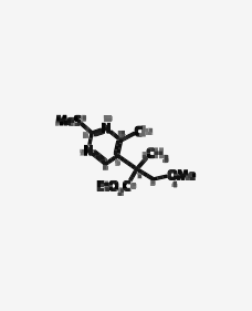 CCOC(=O)C(C)(COC)c1cnc(SC)nc1Cl